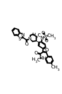 CNC(=O)c1c(-c2ccc(C)cc2)oc2cc(N(C)S(C)(=O)=O)c([C@@H]3CCCN(C(=O)c4nc5ccccc5s4)C3)cc12